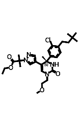 CCOC(=O)C(C)(C)n1cc(C2=CN(CCOC)C(=O)N[C@@]2(C)c2ccc(CCC(C)(C)C)c(Cl)c2)cn1